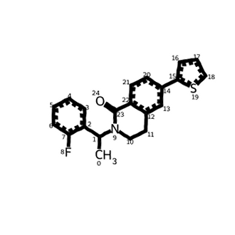 CC(c1ccccc1F)N1CCc2cc(-c3cccs3)ccc2C1=O